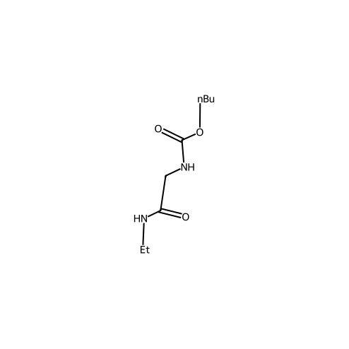 CCCCOC(=O)NCC(=O)NCC